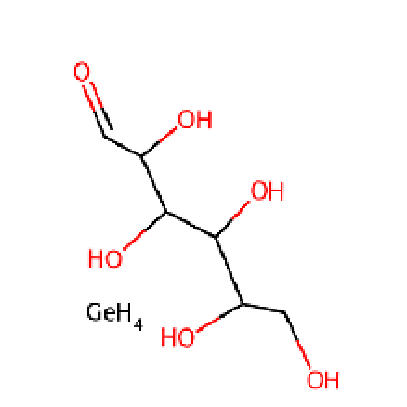 O=CC(O)C(O)C(O)C(O)CO.[GeH4]